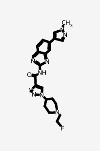 Cn1cc(-c2ccc3cnc(NC(=O)c4cn(C5CCN(CCF)CC5)nn4)nc3c2)cn1